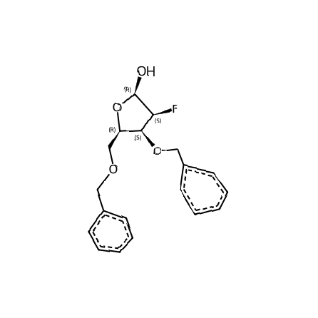 O[C@@H]1O[C@H](COCc2ccccc2)[C@H](OCc2ccccc2)[C@@H]1F